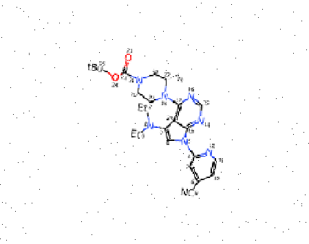 CCN(CC)c1cn(-c2cc(C#N)ccn2)c2ncnc(N3CCN(C(=O)OC(C)(C)C)C[C@@H]3C)c12